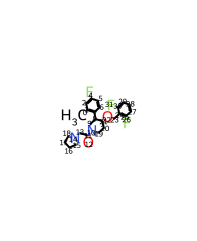 Cc1cc(F)ccc1C1CN(C(=O)CN2CCCC2)CCC1OCc1c(F)cccc1F